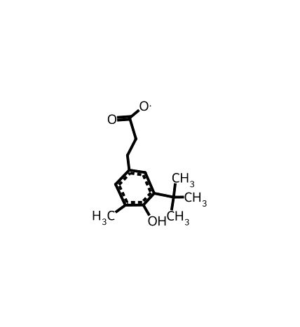 Cc1cc(CCC([O])=O)cc(C(C)(C)C)c1O